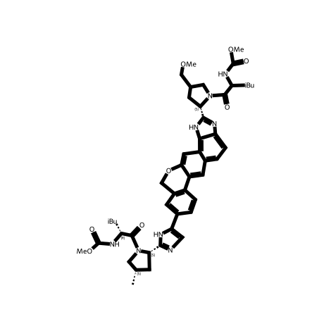 CCC(C)C(NC(=O)OC)C(=O)N1CC(COC)C[C@H]1c1nc2ccc3cc4c(cc3c2[nH]1)OCc1cc(-c2cnc([C@@H]3C[C@H](C)CN3C(=O)[C@H](NC(=O)OC)C(C)CC)[nH]2)ccc1-4